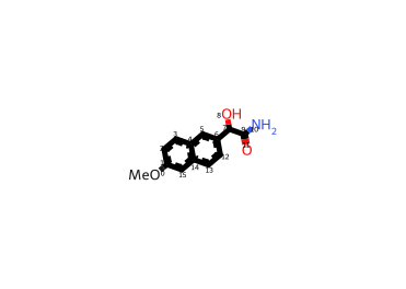 COc1ccc2cc(C(O)C(N)=O)ccc2c1